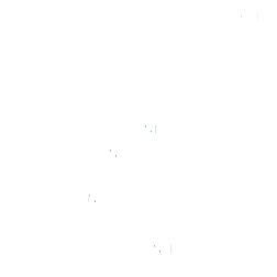 NC(=O)c1c(Cl)c(-c2ccccc2)n2c1CN(C(=O)Nc1ccc(OCC(=O)O)cc1)CC2